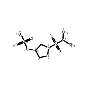 CN(C)S(=O)(=O)N1C[C@H](OS(C)(=O)=O)CO1